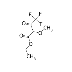 CCOC(=O)C(OC)C(=O)C(F)(F)F